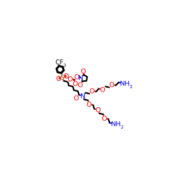 NCCOCCOCCOCCN(CCOCCOCCOCCN)C(=O)CCCCC(CS(=O)(=O)c1ccc(C(F)(F)F)cc1)OC(=O)ON1C(=O)CCC1=O